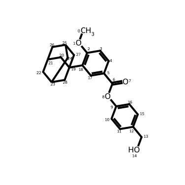 COc1ccc(C(=O)Oc2ccc(CO)cc2)cc1C12CC3CC(CC(C3)C1)C2